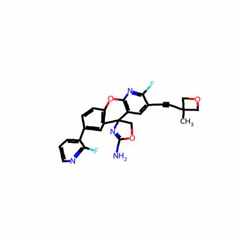 CC1(C#Cc2cc3c(nc2F)Oc2ccc(-c4cccnc4F)cc2C32COC(N)=N2)COC1